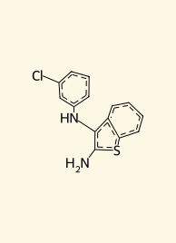 Nc1sc2ccccc2c1Nc1cccc(Cl)c1